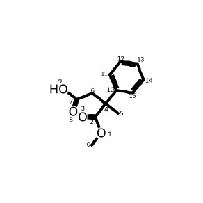 COC(=O)C(C)(CC(=O)O)c1ccccc1